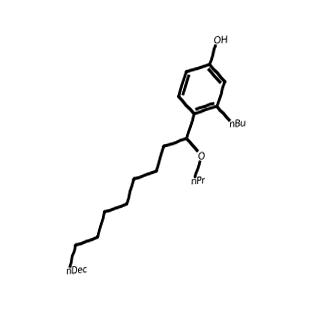 CCCCCCCCCCCCCCCCCC(OCCC)c1ccc(O)cc1CCCC